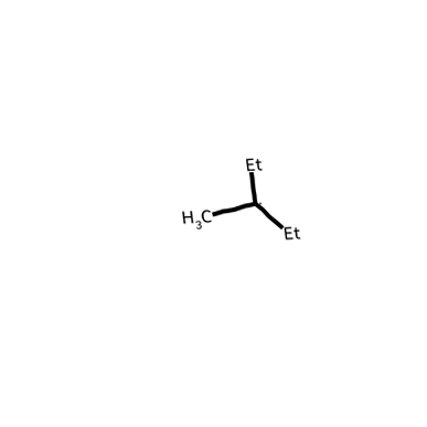 CC[C](C)CC